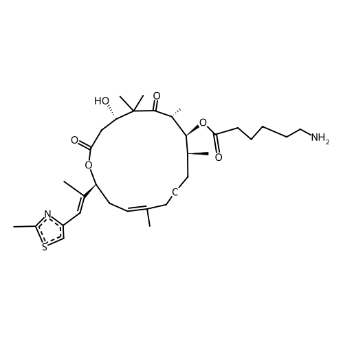 C/C1=C/C[C@@H](/C(C)=C/c2csc(C)n2)OC(=O)C[C@H](O)C(C)(C)C(=O)[C@H](C)[C@@H](OC(=O)CCCCCN)[C@@H](C)CCC1